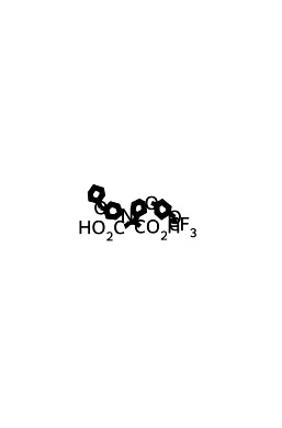 O=C(O)Cc1c(C(=O)O)c2cc(Oc3ccc(OC(F)(F)F)cc3)ccc2n1-c1ccc(Oc2ccccc2)cc1